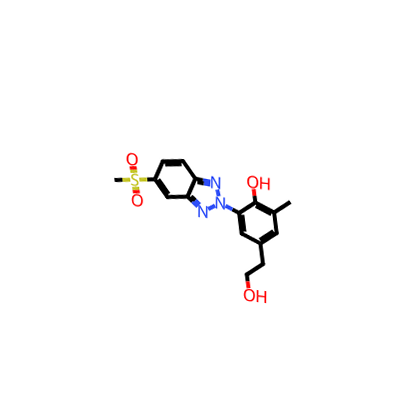 Cc1cc(CCO)cc(-n2nc3ccc(S(C)(=O)=O)cc3n2)c1O